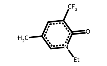 [CH2]c1cc(C(F)(F)F)c(=O)n(CC)c1